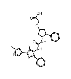 Cc1c(-c2cnn(C)c2)nn(-c2ccccc2)c1NC(=O)N[C@@H]1C[C@@H](OCC(=O)O)C[C@H]1c1ccccc1